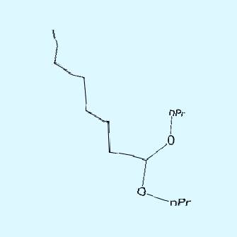 CCCOC(CCCCCI)OCCC